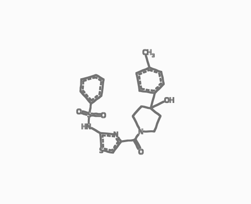 Cc1ccc(C2(O)CCN(C(=O)c3csc(NS(=O)(=O)c4ccccc4)n3)CC2)cc1